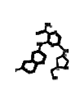 NC(=O)c1ncc(N[C@H]2CN[C@@H](CO)C2)nc1Nc1cnc2ccc(F)cc2c1